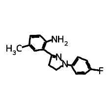 Cc1ccc(N)c(C2=NN(c3ccc(F)cc3)CC2)c1